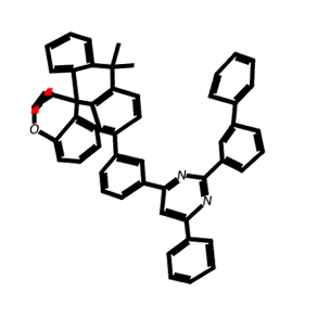 CC1(C)c2ccccc2C2(c3ccccc3Oc3ccccc32)c2cc(-c3cccc(-c4cc(-c5ccccc5)nc(-c5cccc(-c6ccccc6)c5)n4)c3)ccc21